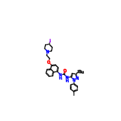 Cc1ccc(-n2nc(C(C)(C)C)cc2NC(=O)Nc2ccc(OCCN3CCC(I)CC3)c3ccccc23)cc1